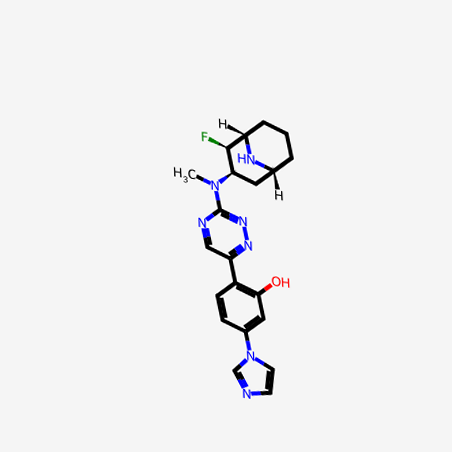 CN(c1ncc(-c2ccc(-n3ccnc3)cc2O)nn1)[C@@H]1C[C@H]2CCC[C@H](N2)[C@@H]1F